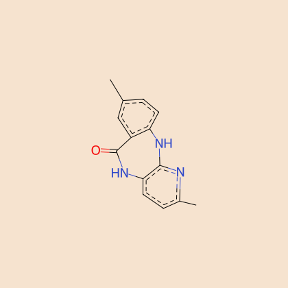 Cc1ccc2c(c1)C(=O)Nc1ccc(C)nc1N2